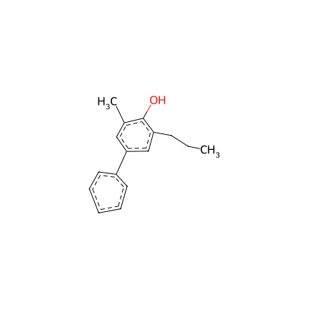 CCCc1cc(-c2ccccc2)cc(C)c1O